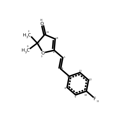 CC1(C)OC(/C=C/c2ccc(F)cc2)=CC1=O